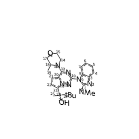 CNc1nc2ccccc2n1-c1nc(N2CCOCC2C)c2ccc(C(C)(O)C(C)(C)C)n2n1